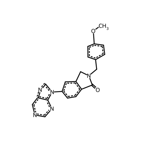 COc1ccc(CN2Cc3cc(-n4cnc5cncnc54)ccc3C2=O)cc1